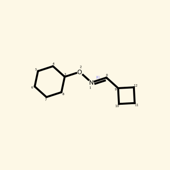 [C](=N\OC1CCCCC1)/C1CCC1